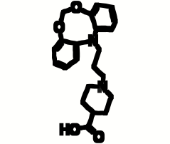 O=C(O)C1CCN(CCCN2c3ccccc3OCOc3ccccc32)CC1